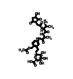 CC(=O)OCc1ccc(NC(=O)[C@H](C)NC(=O)[C@@H](NC(=O)CN2C(=O)CC(O)C2=O)C(C)C)cc1CC[C@@H]1O[C@H](C(=O)O)[C@@H](O)[C@H](O)[C@H]1O